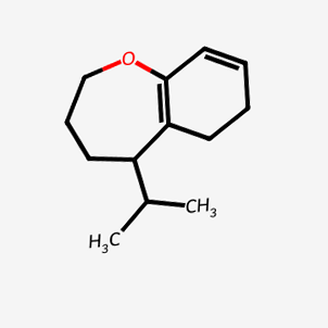 CC(C)C1CCCOC2=C1CCC=C2